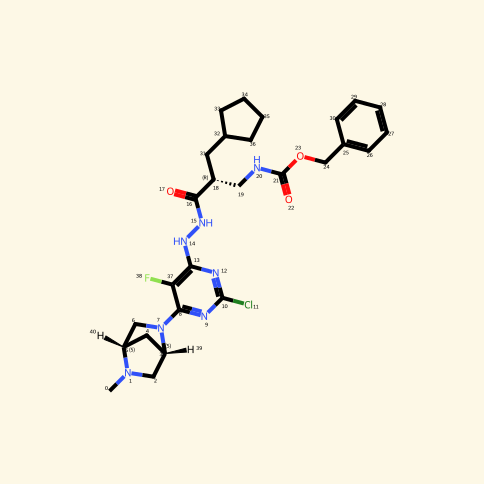 CN1C[C@@H]2C[C@H]1CN2c1nc(Cl)nc(NNC(=O)[C@@H](CNC(=O)OCc2ccccc2)CC2CCCC2)c1F